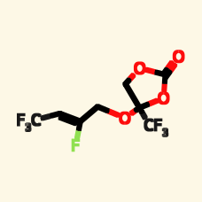 O=C1OCC(OCC(F)=CC(F)(F)F)(C(F)(F)F)O1